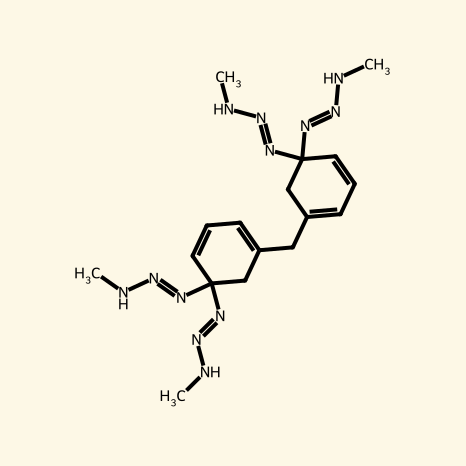 CN/N=N/C1(/N=N/NC)C=CC=C(CC2=CC=CC(/N=N/NC)(/N=N/NC)C2)C1